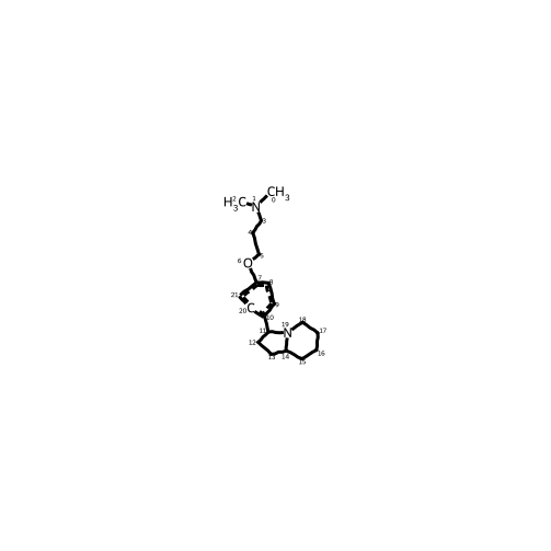 CN(C)CCCOc1ccc(C2CCC3CCCCN32)cc1